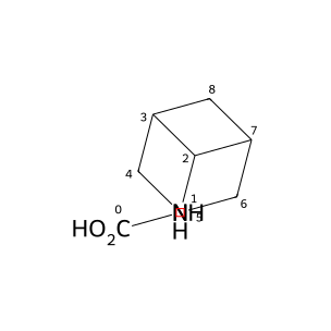 O=C(O)NC1C2CNCC1C2